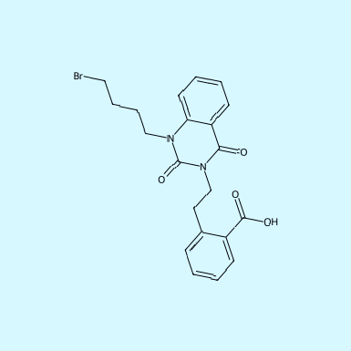 O=C(O)c1ccccc1CCn1c(=O)c2ccccc2n(CCCCBr)c1=O